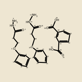 NNC(=O)CCOc1ccccc1.NNC(=O)CCOc1ccccc1.O=C(O)c1cccc(C(=O)O)c1